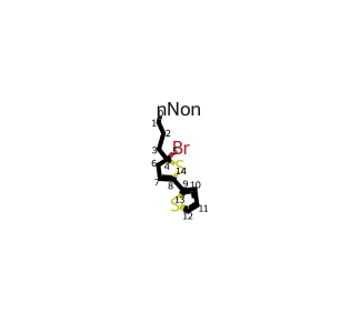 CCCCCCCCCCCCC1(Br)CC=C(c2cccs2)S1